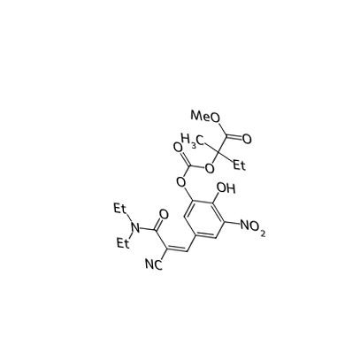 CCN(CC)C(=O)C(C#N)=Cc1cc(OC(=O)OC(C)(CC)C(=O)OC)c(O)c([N+](=O)[O-])c1